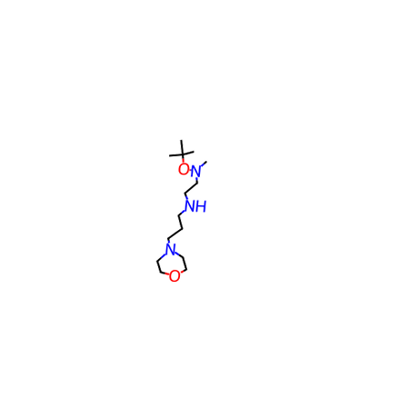 CN(CCNCCCN1CCOCC1)OC(C)(C)C